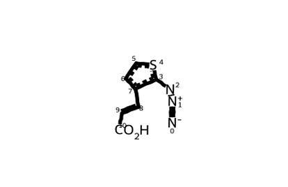 [N-]=[N+]=Nc1sccc1C=CC(=O)O